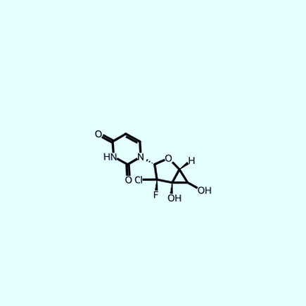 O=c1ccn([C@@H]2O[C@@H]3C(O)[C@]3(O)[C@]2(F)Cl)c(=O)[nH]1